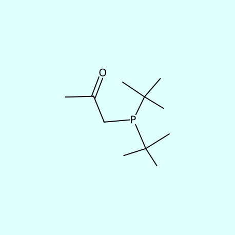 CC(=O)CP(C(C)(C)C)C(C)(C)C